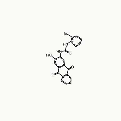 O=C(Nc1cc2c(cc1O)C(=O)c1ccccc1C2=O)Nc1ccccc1Br